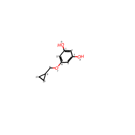 Oc1cc(O)cc(OCC2CC2)c1